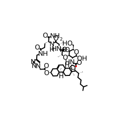 CC(=O)N[C@H]1C(O)O[C@H](CO)[C@@H](O)[C@@H]1O[C@H](C)C(=O)N[C@@H](C)C(=O)N[C@H](CCC(=O)NCc1cn(CC(=O)O[C@H]2CC[C@@]3(C)C(=CC[C@H]4[C@@H]5CC[C@H]([C@H](C)CCCC(C)C)[C@@]5(C)CC[C@@H]43)C2)nn1)C(N)=O